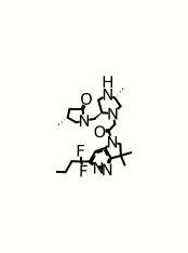 CCCC(F)(F)c1cc2c(nn1)C(C)(C)CN2C(=O)CN1C[C@@H](C)NC[C@@H]1CN1C[C@H](C)CC1=O